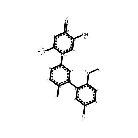 COc1ccc(Cl)cc1-c1cc(-n2cc(O)c(=O)cc2N)ccc1C